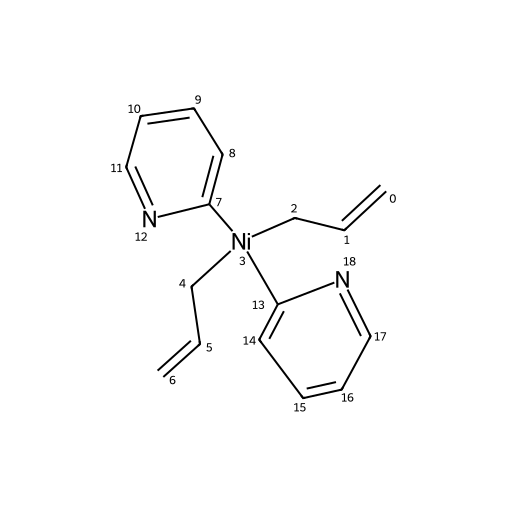 C=C[CH2][Ni]([CH2]C=C)([c]1ccccn1)[c]1ccccn1